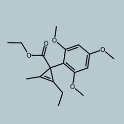 CCOC(=O)C1(c2c(OC)cc(OC)cc2OC)C(C)=C1CC